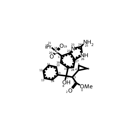 COC(=O)C(C1CC1)C(O)(c1ccccc1)c1cc(S(=O)(=O)C(C)C)c2nc(N)[nH]c2c1